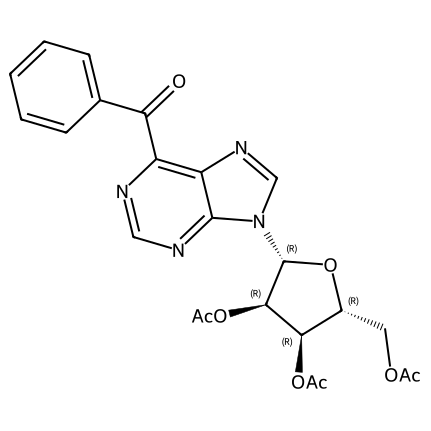 CC(=O)OC[C@H]1O[C@@H](n2cnc3c(C(=O)c4ccccc4)ncnc32)[C@H](OC(C)=O)[C@@H]1OC(C)=O